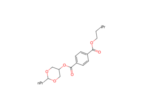 CCCC1OCC(OC(=O)c2ccc(C(=O)OCCC(C)C)cc2)CO1